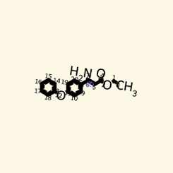 CCOC(=O)/C=C(\N)c1ccc(Oc2ccccc2)cc1